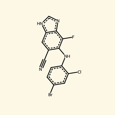 N#Cc1cc2[nH]cnc2c(F)c1Nc1ccc(Br)cc1Cl